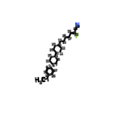 CCc1ccc([C@H]2CC[C@H]([C@H]3CC[C@H](CCC=CC=C(F)C#N)CC3)CC2)cc1